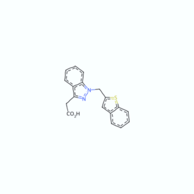 O=C(O)Cc1nn(Cc2cc3ccccc3s2)c2ccccc12